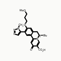 COCCCOc1cc2c(cc1-c1cnnn1C)-c1cc(=O)c(C(=O)O)cn1[C@H](C(C)(C)C)C2